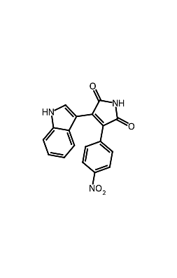 O=C1NC(=O)C(c2c[nH]c3ccccc23)=C1c1ccc([N+](=O)[O-])cc1